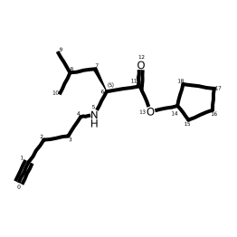 C#CCCCN[C@@H](CC(C)C)C(=O)OC1CCCC1